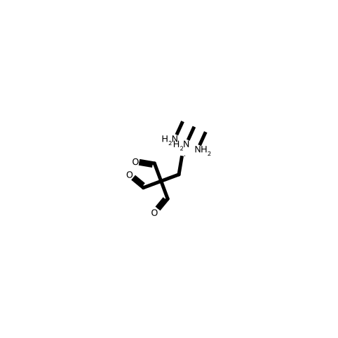 CN.CN.CN.[CH2]CC(C=O)(C=O)C=O